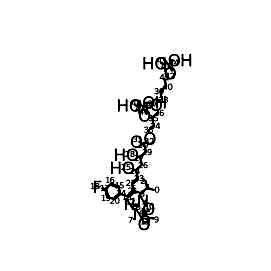 CC(C)c1nc(N(C)S(C)(=O)=O)nc(-c2ccc(F)cc2)c1/C=C/C(O)CC(O)CC(=O)OCCC(COCCCCON(O)O)ON(O)O